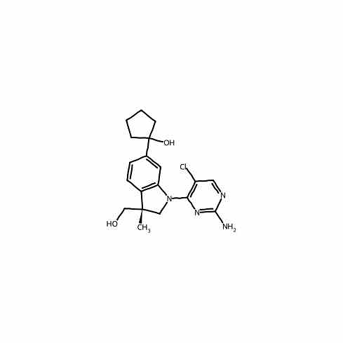 C[C@]1(CO)CN(c2nc(N)ncc2Cl)c2cc(C3(O)CCCC3)ccc21